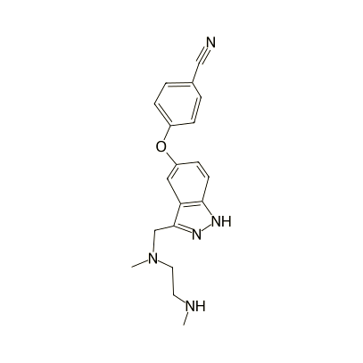 CNCCN(C)Cc1n[nH]c2ccc(Oc3ccc(C#N)cc3)cc12